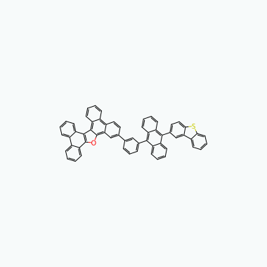 c1cc(-c2ccc3c4ccccc4c4c(oc5c6ccccc6c6ccccc6c54)c3c2)cc(-c2c3ccccc3c(-c3ccc4sc5ccccc5c4c3)c3ccccc23)c1